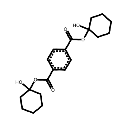 O=C(OC1(O)CCCCC1)c1ccc(C(=O)OC2(O)CCCCC2)cc1